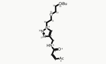 CC(=O)/C=C\C(=O)NCc1cn(CCOCCOCC(C)C)nn1